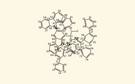 CCC(C1=N/C(c2cccc(-c3ccccc3)c2)=C(/C)CC/C(c2cccc(-c3ccccc3)c2)=N\1)c1c(-c2ccccc2C)c(-n2c3ccccc3c3ccccc32)cc2c3ccccc3n(-c3ccc(-c4ccccc4)cc3)c12